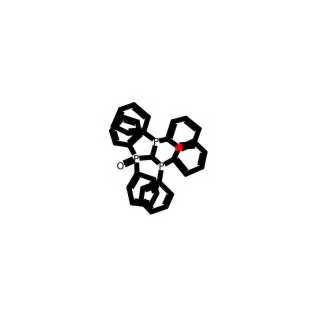 O=P(c1ccccc1)(c1ccccc1)C(P(c1ccccc1)c1ccccc1)P(c1ccccc1)c1ccccc1